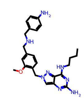 CCCCNc1nc(N)nc2cn(Cc3ccc(CNCc4ccc(N)cc4)cc3OC)nc12